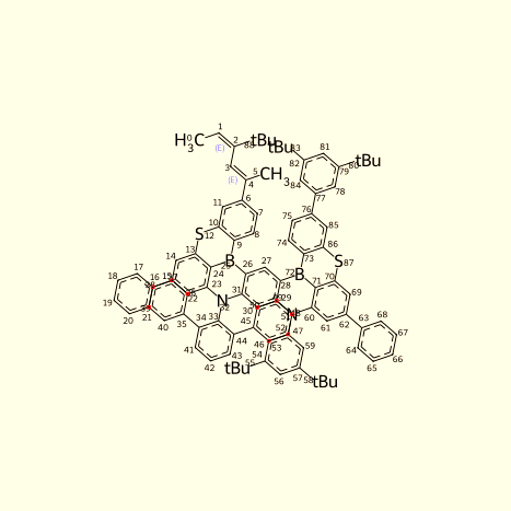 C/C=C(\C=C(/C)c1ccc2c(c1)Sc1cc(-c3ccccc3)cc3c1B2c1cc2c(cc1N3c1c(-c3ccccc3)cccc1-c1ccccc1)N(c1cc(C(C)(C)C)cc(C(C)(C)C)c1)c1cc(-c3ccccc3)cc3c1B2c1ccc(-c2cc(C(C)(C)C)cc(C(C)(C)C)c2)cc1S3)C(C)(C)C